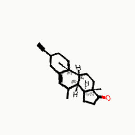 C#CC1CC[C@@]2(C)C(=CC(C)[C@@H]3[C@H]2CC[C@]2(C)C(=O)CC[C@@H]32)C1